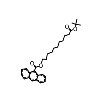 CC(C)(C)OC(=O)CCCCCCCCCCOC(=O)c1c2ccccc2cc2ccccc12